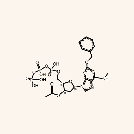 CNc1nc(OCc2ccccc2)nc2c1ncn2[C@H]1C[C@@H](OC(C)=O)[C@@H](COP(=O)(O)OP(=O)(O)OP(=O)(O)O)O1